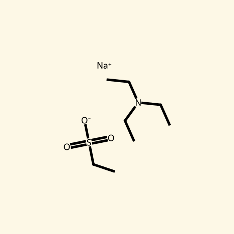 CCN(CC)CC.CCS(=O)(=O)[O-].[Na+]